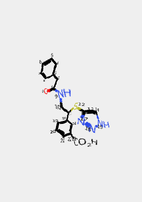 O=C(Cc1ccccc1)NCC(Sc1c[nH]nn1)c1cccc(C(=O)O)c1